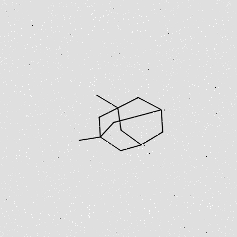 CC12C[C]3C[C](C1)CC(C)(C3)C2